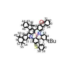 CC(C)(C)c1ccc(N2B3c4cc5c(cc4-n4c6cc7c(cc6c6c8c(c(c3c64)-c3cc4oc6ccccc6c4cc32)C(C)(C)c2ccccc2-8)C(C)(C)CCC7(C)C)sc2ccccc25)cc1